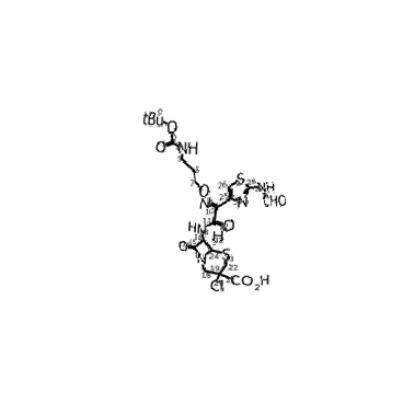 CC(C)(C)OC(=O)NCCCON=C(C(=O)NC1C(=O)N2CC(Cl)(C(=O)O)CS[C@H]12)c1csc(NC=O)n1